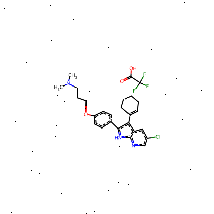 CN(C)CCCOc1ccc(-c2[nH]c3ncc(Cl)cc3c2C2=CCCCC2)cc1.O=C(O)C(F)(F)F